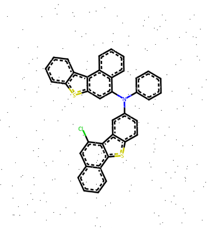 Clc1cc2ccccc2c2sc3ccc(N(c4ccccc4)c4cc5sc6ccccc6c5c5ccccc45)cc3c12